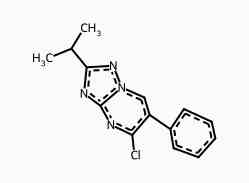 CC(C)c1nc2nc(Cl)c(-c3ccccc3)cn2n1